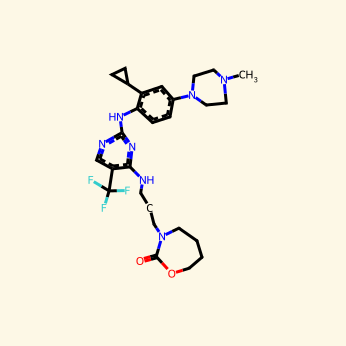 CN1CCN(c2ccc(Nc3ncc(C(F)(F)F)c(NCCCN4CCCCOC4=O)n3)c(C3CC3)c2)CC1